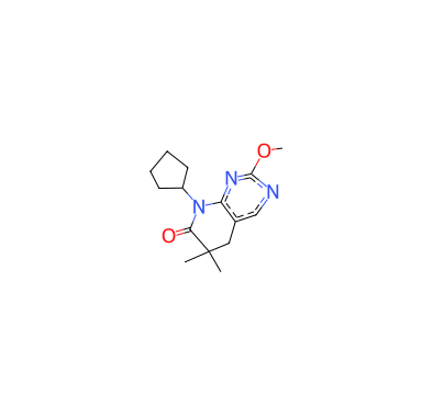 COc1ncc2c(n1)N(C1CCCC1)C(=O)C(C)(C)C2